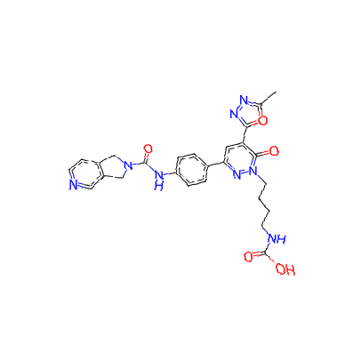 Cc1nnc(-c2cc(-c3ccc(NC(=O)N4Cc5ccncc5C4)cc3)nn(CCCCNC(=O)O)c2=O)o1